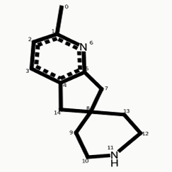 Cc1ccc2c(n1)CC1(CCNCC1)C2